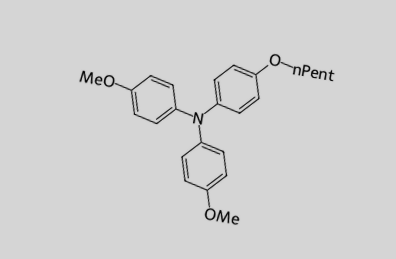 CCCCCOc1ccc(N(c2ccc(OC)cc2)c2ccc(OC)cc2)cc1